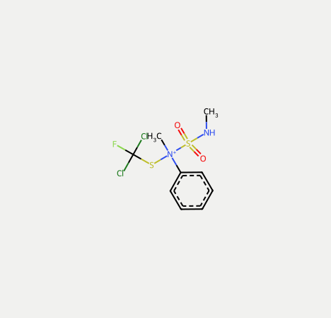 CNS(=O)(=O)[N+](C)(SC(F)(Cl)Cl)c1ccccc1